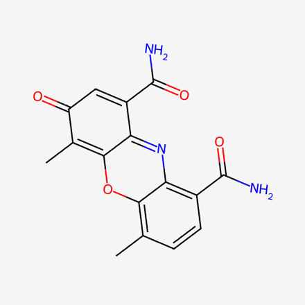 Cc1c2oc3c(C)ccc(C(N)=O)c3nc-2c(C(N)=O)cc1=O